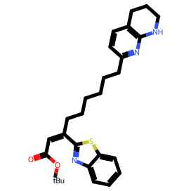 CC(C)(C)OC(=O)C=C(CCCCCCc1ccc2c(n1)NCCC2)c1nc2ccccc2s1